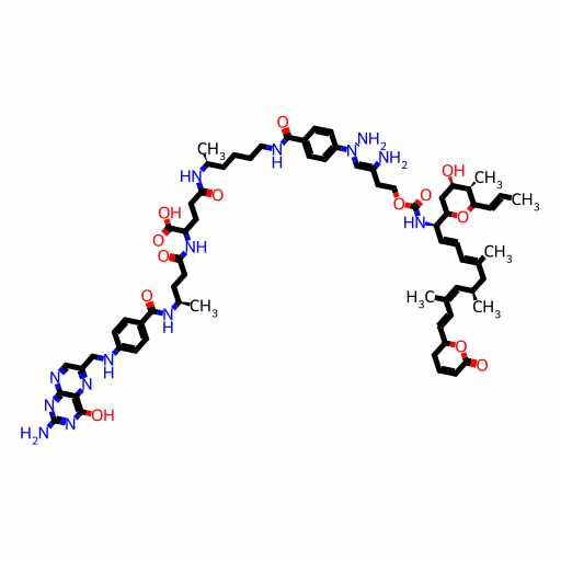 C/C=C/C1OC([C@@H](/C=C/C=C(\C)C[C@@H](C)/C=C(C)\C=C\C2CC=CC(=O)O2)NC(=O)OCC/C(N)=C/N(N)c2ccc(C(=O)NCCCC[C@@H](C)NC(=O)CCC(NC(=O)CC[C@@H](C)NC(=O)c3ccc(NCc4cnc5nc(N)nc(O)c5n4)cc3)C(=O)O)cc2)C[C@@H](O)[C@@H]1C